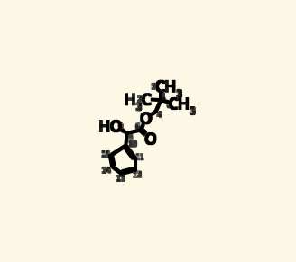 CC(C)(C)COC(=O)[C@H](O)c1ccccc1